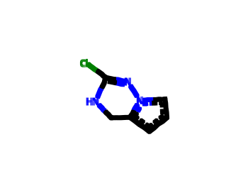 ClC1=Nn2cccc2CN1